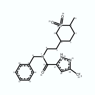 CC1CCC(CCN(Cc2ccccc2)C(=O)c2cc(C(F)(F)F)n[nH]2)CS1(=O)=O